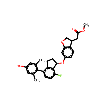 COC(=O)CC1COc2cc(O[C@@H]3CCc4c(-c5c(C)cc(O)cc5C)ccc(F)c43)ccc21